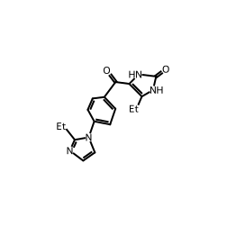 CCc1[nH]c(=O)[nH]c1C(=O)c1ccc(-n2ccnc2CC)cc1